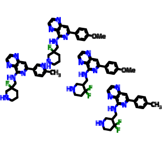 COc1ccc(-c2cc3nccnc3c(NCC3(F)CCCNC3)n2)cc1.COc1ccc(-c2cc3nccnc3c(NCC3CNCCC3(F)F)n2)cc1.Cc1ccc(-c2cc3nccnc3c(NCC3(F)CCCNC3)n2)cn1.Cc1ccc(-c2cc3nccnc3c(NCC3CNCCC3(F)F)n2)cc1